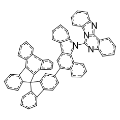 c1ccc2c(c1)-c1ccc(-c3cc4c5ccccc5n(-c5nc6ccccc6c6nc7ccccc7n56)c4c4ccccc34)cc1C21c2ccccc2-c2c1c1ccccc1c1ccccc21